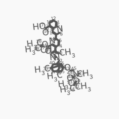 Cc1c(-c2ccc(-c3cnc4cccc(C(=O)O)c4c3)nc2C(=O)OC(C)(C)C)cnn1CC12CC3(C)CC(C)(C1)CC(OCCN(C)C(=O)OC(C)(C)C)(C3)C2